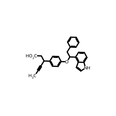 CC#CC(CC(=O)O)c1ccc(OC(Cc2ccccc2)c2cccc3[nH]ccc23)cc1